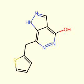 Oc1nnc(Cc2cccs2)c2[nH]ncc12